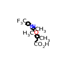 Cc1cc(OC(C)c2cn(-c3ccc(C(F)(F)F)cc3)nc2C)ccc1CCC(=O)O